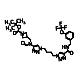 CC(C)(C)OC(=O)N1CC(CN(C=O)c2cn(CCCCn3cc(C(=O)NCc4cccc(OC(F)(F)F)c4)nn3)nn2)C1